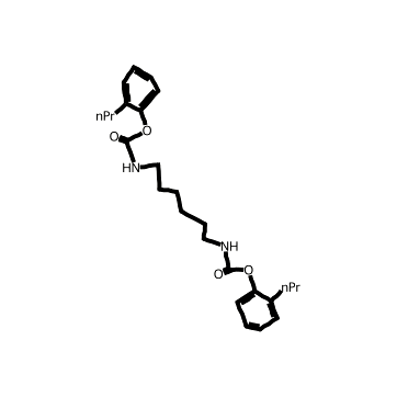 CCCc1ccccc1OC(=O)NCCCCCCNC(=O)Oc1ccccc1CCC